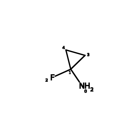 NC1(F)CC1